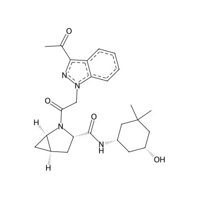 CC(=O)c1nn(CC(=O)N2[C@@H]3C[C@@H]3C[C@H]2C(=O)N[C@H]2C[C@@H](O)CC(C)(C)C2)c2ccccc12